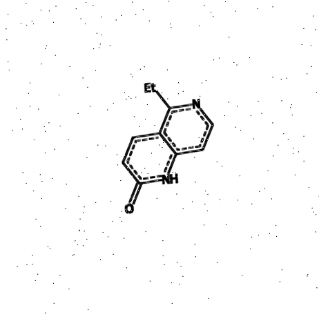 CCc1nccc2[nH]c(=O)ccc12